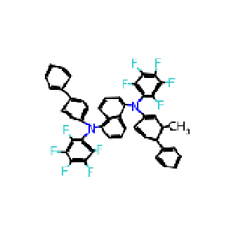 CC1C=C(N(c2c(F)c(F)c(F)c(F)c2F)c2cccc3c(N(c4ccc(-c5ccccc5)cc4)c4c(F)c(F)c(F)c(F)c4F)cccc23)C=CC1c1ccccc1